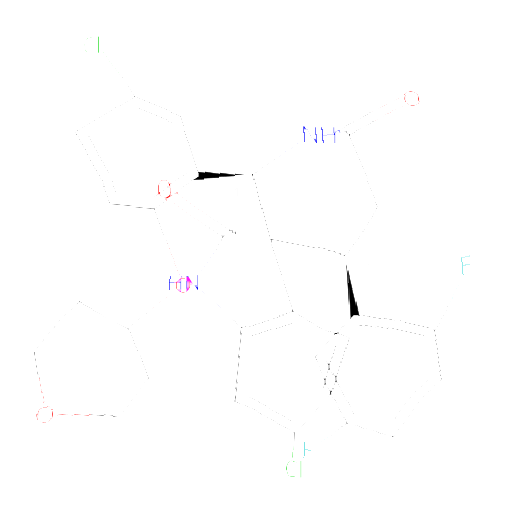 O=C1C[C@@H](c2cc(F)ccc2F)[C@]2(C(=O)Nc3cc(Cl)ccc32)[C@@H](c2cc(Cl)ccc2OC2CCOCC2)N1